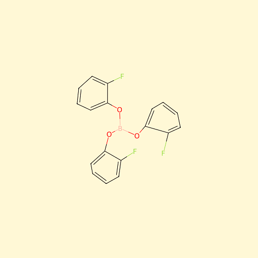 Fc1ccccc1OB(Oc1ccccc1F)Oc1ccccc1F